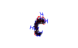 Cc1cc(-c2ccnc(Nc3ccc(N4CCN(CC5CN(C(=O)c6cccc(NC7CCC(=O)NC7=O)c6)C5)CC4)cc3)n2)ccc1CNC(=O)c1cn(C(C)(C)C)nn1